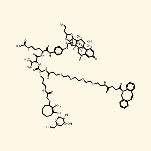 CCCC1O[C@@H]2C[C@H]3[C@@H]4C[C@H](F)C5=CC(=O)C=C[C@]5(C)[C@@]4(F)[C@@H](O)C[C@]3(C)[C@]2(C(=O)COc2ccc(NC(=O)[C@H](CCCNC(N)=O)NC(=O)[C@@H](NC(=O)[C@@H](CCCCNC(=O)COC3CCCCC/C(N[C@H]4O[C@H](CO)C[C@H](O)[C@H]4O)=C\3N)NC(=O)CCOCCOCCOCCOCCNC(=O)CCC(=O)N3Cc4ccccc4/C=C\c4ccccc43)C(C)C)cc2)O1